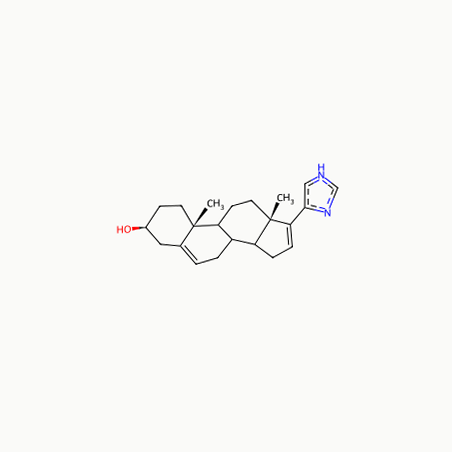 C[C@]12CC[C@H](O)CC1=CCC1C2CC[C@]2(C)C(c3c[nH]cn3)=CCC12